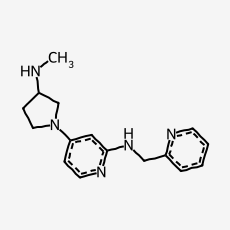 CNC1CCN(c2ccnc(NCc3ccccn3)c2)C1